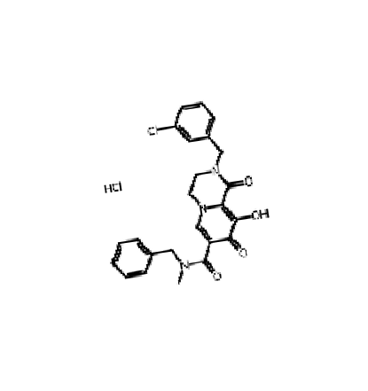 CN(Cc1ccccc1)C(=O)c1cn2c(c(O)c1=O)C(=O)N(Cc1cccc(Cl)c1)CC2.Cl